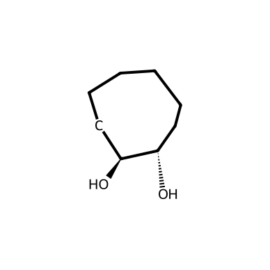 O[C@H]1CCCCCC[C@@H]1O